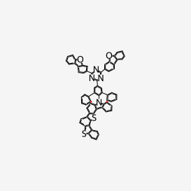 c1ccc(-c2cc(-c3nc(-c4ccc5c(c4)oc4ccccc45)nc(-c4ccc5c(c4)oc4ccccc45)n3)cc(-c3ccccc3)c2-n2c3ccccc3c3c4sc5c(ccc6sc7ccccc7c65)c4ccc32)cc1